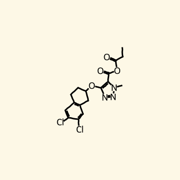 CCC(=O)OC(=O)c1c(OC2CCc3cc(Cl)c(Cl)cc3C2)nnn1C